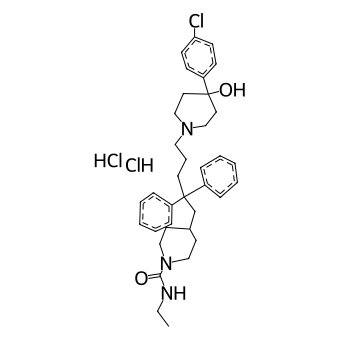 CCNC(=O)N1CCC(CC(CCCN2CCC(O)(c3ccc(Cl)cc3)CC2)(c2ccccc2)c2ccccc2)CC1.Cl.Cl